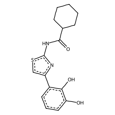 O=C(Nc1nc(-c2cccc(O)c2O)cs1)C1CCCCC1